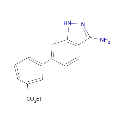 CCOC(=O)c1cccc(-c2ccc3c(N)n[nH]c3c2)c1